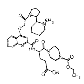 CCOC(=O)N1CCN(C(=O)C(CCC(=O)O)NC(=O)c2cc(OCC(=O)N3CCC[C@H]3C3CCCCN3C)c3ccccc3n2)CC1